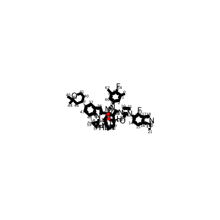 Cc1cc(-n2nc3c(c2-n2ccn(-c4ccc5c(cnn5C)c4F)c2=O)[C@@H]2CC[C@H](C3)N2C(=O)c2cc3cc([C@H]4CCOC(C)(C)C4)ccc3n2[C@@]2(c3nnn[nH]3)C[C@@H]2C)cc(C)c1F